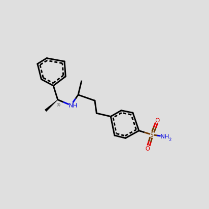 CC(CCc1ccc(S(N)(=O)=O)cc1)N[C@@H](C)c1ccccc1